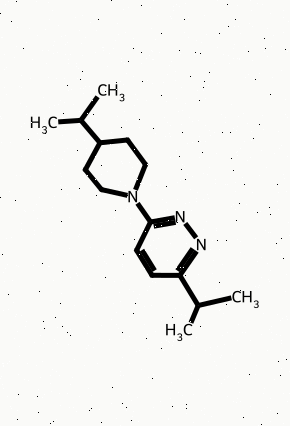 CC(C)c1ccc(N2CCC(C(C)C)CC2)nn1